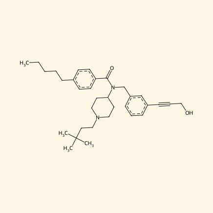 CCCCCc1ccc(C(=O)N(Cc2cccc(C#CCO)c2)C2CCN(CCC(C)(C)C)CC2)cc1